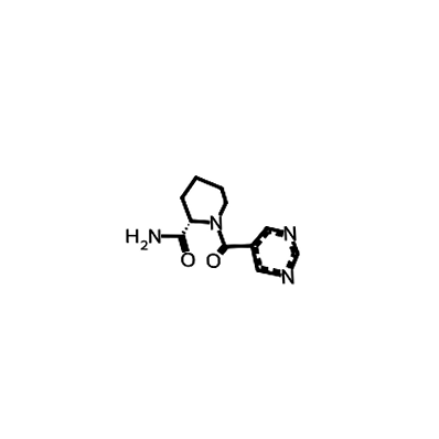 NC(=O)[C@@H]1CCCCN1C(=O)c1cncnc1